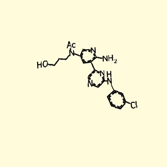 CC(=O)N(CCCO)c1cnc(N)c(-c2cncc(Nc3cccc(Cl)c3)n2)c1